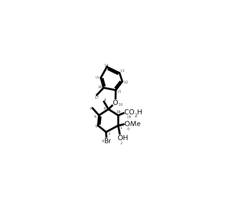 COC1(O)C(Br)C=C(C)C(C)(Oc2ccccc2C)C1C(=O)O